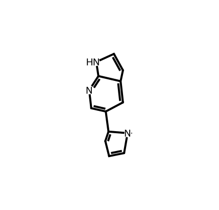 C1=C[N]C(c2cnc3[nH]ccc3c2)=C1